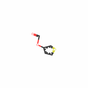 O=COc1ccsc1